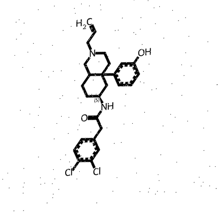 C=CCN1CCC2(c3cccc(O)c3)C[C@@H](NC(=O)Cc3ccc(Cl)c(Cl)c3)CCC2C1